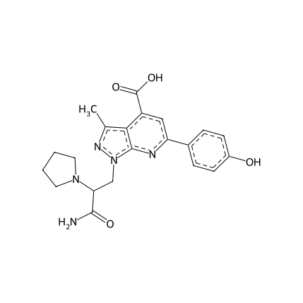 Cc1nn(CC(C(N)=O)N2CCCC2)c2nc(-c3ccc(O)cc3)cc(C(=O)O)c12